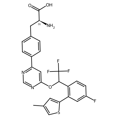 Cc1csc(-c2cc(F)ccc2C(Oc2cc(-c3ccc(C[C@H](N)C(=O)O)cc3)ncn2)C(F)(F)F)c1